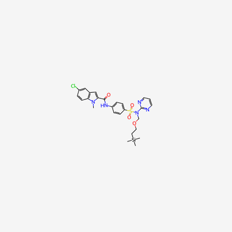 Cn1c(C(=O)Nc2ccc(S(=O)(=O)N(COCC[Si](C)(C)C)c3ncccn3)cc2)cc2cc(Cl)ccc21